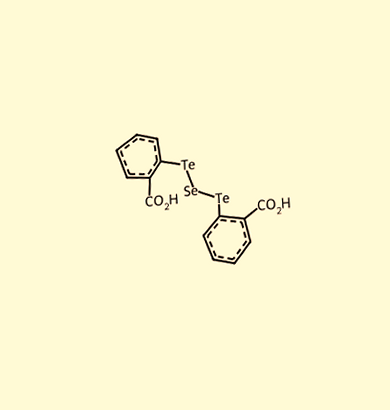 O=C(O)c1ccccc1[Te][Se][Te]c1ccccc1C(=O)O